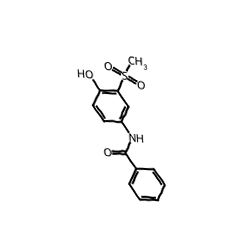 CS(=O)(=O)c1cc(NC(=O)c2ccccc2)ccc1O